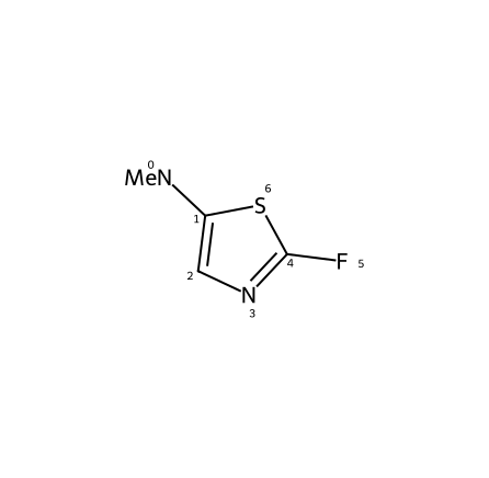 CNc1cnc(F)s1